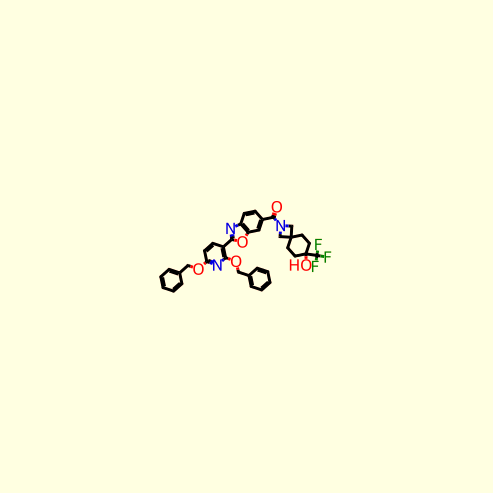 O=C(c1ccc2nc(-c3ccc(OCc4ccccc4)nc3OCc3ccccc3)oc2c1)N1CC2(CCC(O)(C(F)(F)F)CC2)C1